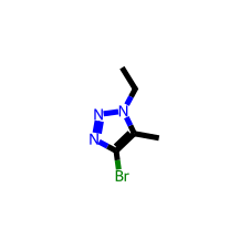 CCn1nnc(Br)c1C